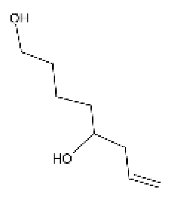 C=CCC(O)CCCCO